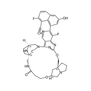 C#Cc1c(F)ccc2cc(O)cc(-c3ncc4c5nc(nc4c3F)OC[C@@]34CCCN3C[C@H](C4)OCCC(=O)NC[C@@]34CC[C@@H](CN5C3)N4)c12